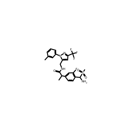 Cc1cccc(-n2nc(C(F)(F)F)cc2CNC(=O)C(C)c2ccc(C(N)S(C)(=O)=O)c(F)c2)c1